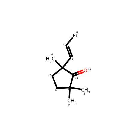 CC/C=C/C1(C)CCC(C)(C)C1=O